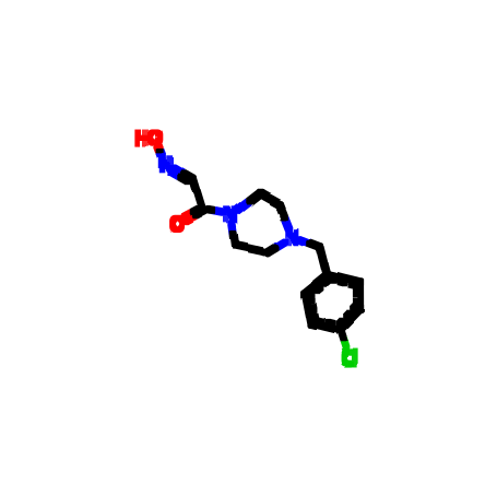 O=C(C=NO)N1CCN(Cc2ccc(Cl)cc2)CC1